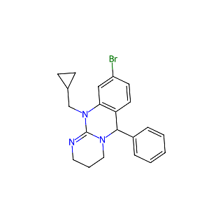 Brc1ccc2c(c1)N(CC1CC1)C1=NCCCN1C2c1ccccc1